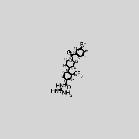 N=C(N)NC(=O)c1ccc(C2CCN(C(=O)c3cccc(Br)c3)CC2)c(C(F)(F)F)c1